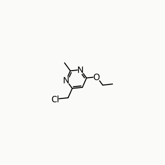 CCOc1cc(CCl)nc(C)n1